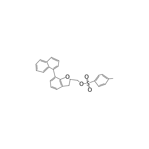 Cc1ccc(S(=O)(=O)OCC2Cc3cccc(-c4cccc5ccccc45)c3O2)cc1